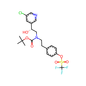 CC(C)(C)OC(=O)N(CCc1ccc(OS(=O)(=O)C(F)(F)F)cc1)C[C@H](O)c1cncc(Cl)c1